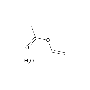 C=COC(C)=O.O